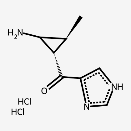 C[C@@H]1C(N)[C@H]1C(=O)c1c[nH]cn1.Cl.Cl